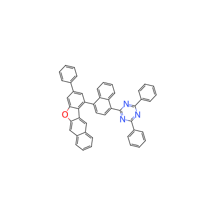 c1ccc(-c2cc(-c3ccc(-c4nc(-c5ccccc5)nc(-c5ccccc5)n4)c4ccccc34)c3c(c2)oc2cc4ccccc4cc23)cc1